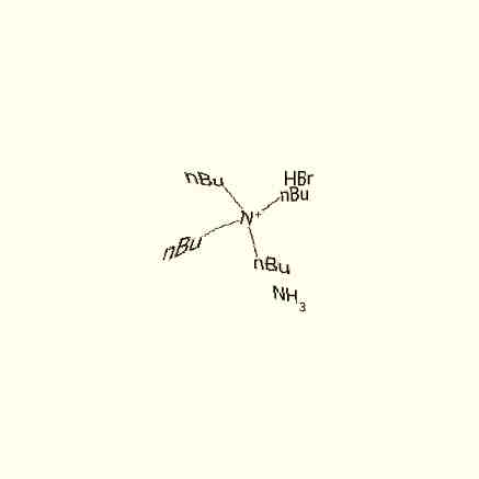 Br.CCCC[N+](CCCC)(CCCC)CCCC.N